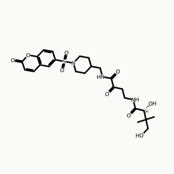 CC(C)(CO)[C@@H](O)C(=O)NCCC(=O)C(=O)NCC1CCN(S(=O)(=O)c2ccc3oc(=O)ccc3c2)CC1